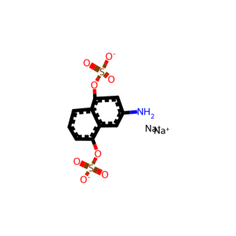 Nc1cc(OS(=O)(=O)[O-])c2cccc(OS(=O)(=O)[O-])c2c1.[Na+].[Na+]